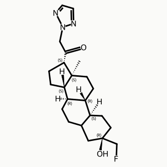 C[C@]12CC[C@H]3[C@@H](CCC4C[C@@](O)(CF)CC[C@@H]43)[C@@H]1CC[C@@H]2C(=O)Cn1nccn1